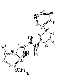 Cc1ccc(F)c2cc(C(=O)N[C@@H]3CCCC(c4cccnc4)C3)[nH]c12